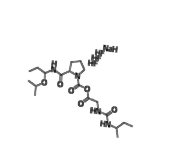 CCC(C)NC(=O)NCC(=O)OC(=O)N1CCCC1C(=O)NC(CC)OC(C)C.F.F.F.[NaH]